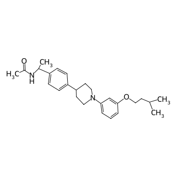 CC(=O)NC(C)c1ccc(C2CCN(c3cccc(OCCC(C)C)c3)CC2)cc1